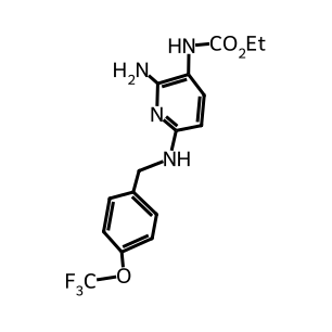 CCOC(=O)Nc1ccc(NCc2ccc(OC(F)(F)F)cc2)nc1N